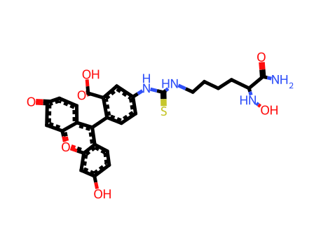 NC(=O)C(CCCCNC(=S)Nc1ccc(-c2c3ccc(=O)cc-3oc3cc(O)ccc23)c(C(=O)O)c1)NO